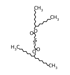 CCCCCCCCC(CCCCCCCC)COC(=O)CCSSCCC(=O)OCC(CCCCCCCC)CCCCCCCC